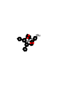 CC(C)(C)c1ccc2c3cccc4c3n(c2c1)-c1ccccc1B4n1c2c(-c3ccccc3)cc(-c3ccccc3)cc2c2cc(-c3ccccc3)cc(-c3ccccc3)c21